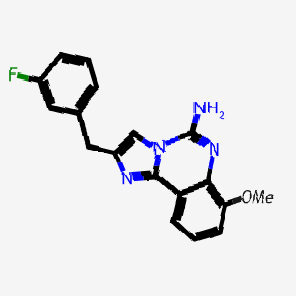 COc1cccc2c1nc(N)n1cc(Cc3cccc(F)c3)nc21